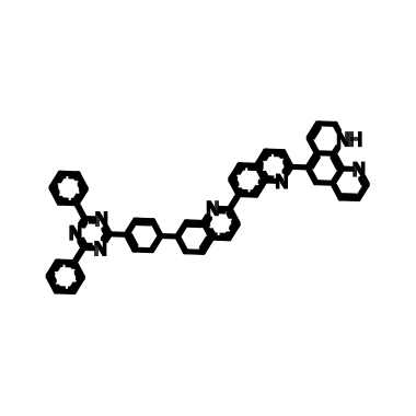 C1=CC2CC(c3ccc4ccc(-c5ccc6c(n5)=CC(C5C=CC(c7nc(-c8ccccc8)nc(-c8ccccc8)n7)=CC5)CC=6)cc4n3)=C3C=CCNC3=C2N=C1